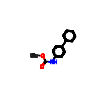 CC(C)(C)OC(=O)Nc1ccc(-c2ccccc2)cc1